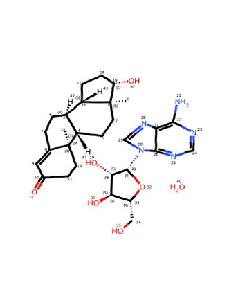 C[C@]12CC[C@H]3[C@@H](CCC4=CC(=O)CC[C@@]43C)[C@@H]1CC[C@@H]2O.Nc1ncnc2c1ncn2[C@@H]1O[C@H](CO)[C@@H](O)[C@@H]1O.O